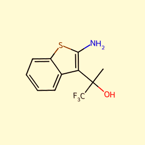 CC(O)(c1c(N)sc2ccccc12)C(F)(F)F